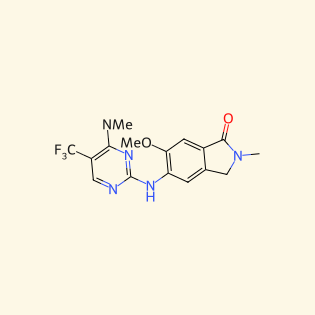 CNc1nc(Nc2cc3c(cc2OC)C(=O)N(C)C3)ncc1C(F)(F)F